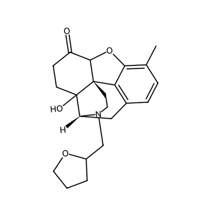 Cc1ccc2c3c1OC1C(=O)CCC4(O)[C@@H](C2)N(CC2CCCO2)CC[C@]314